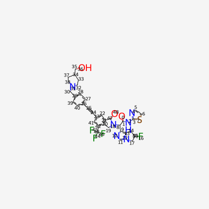 O=C(Nc1nccs1)C(c1ncn2c1C[C@@H](F)C2)N1Cc2c(cc(C#Cc3ccc(CN4CCC(CO)CC4)cc3)cc2C(F)(F)F)C1=O